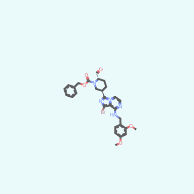 COc1ccc(CNc2nccn3c([C@@H]4CC[C@@H](C=O)N(C(=O)OCc5ccccc5)C4)nc(Br)c23)c(OC)c1